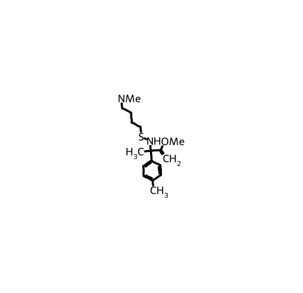 C=C(OC)C(C)(NSCCCCNC)c1ccc(C)cc1